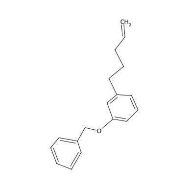 C=CCCCc1cccc(OCc2ccccc2)c1